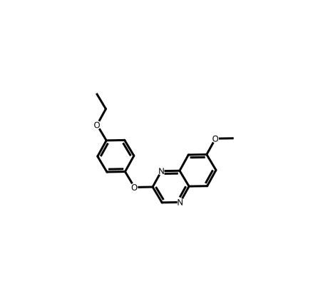 CCOc1ccc(Oc2cnc3ccc(OC)cc3n2)cc1